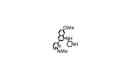 CNc1nccc(-c2cc(NC3CCCNC3)c3cc(OC)ccc3c2)n1